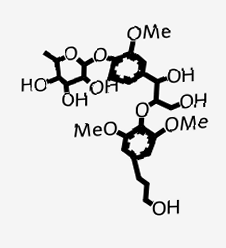 COc1cc(C(O)C(CO)Oc2c(OC)cc(CCCO)cc2OC)ccc1OC1OC(C)C(O)C(O)C1O